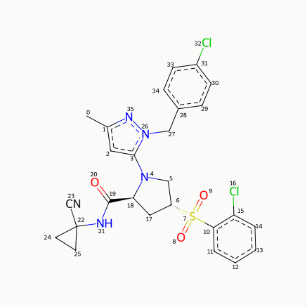 Cc1cc(N2C[C@H](S(=O)(=O)c3ccccc3Cl)C[C@H]2C(=O)NC2(C#N)CC2)n(Cc2ccc(Cl)cc2)n1